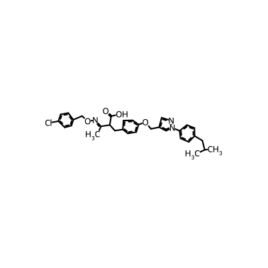 C/C(=N\OCc1ccc(Cl)cc1)C(Cc1ccc(OCc2cnn(-c3ccc(CC(C)C)cc3)c2)cc1)C(=O)O